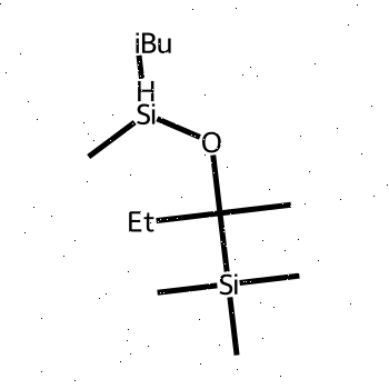 CCC(C)[SiH](C)OC(C)(CC)[Si](C)(C)C